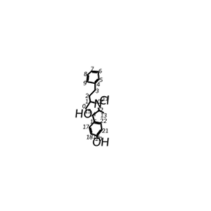 CC(CCc1ccccc1)N(Cl)C(C)C(O)c1ccc(O)cc1